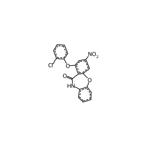 O=C1Nc2ccccc2Oc2cc([N+](=O)[O-])cc(Oc3ccccc3Cl)c21